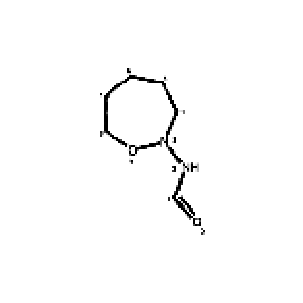 O=[C]NN1CCCCCO1